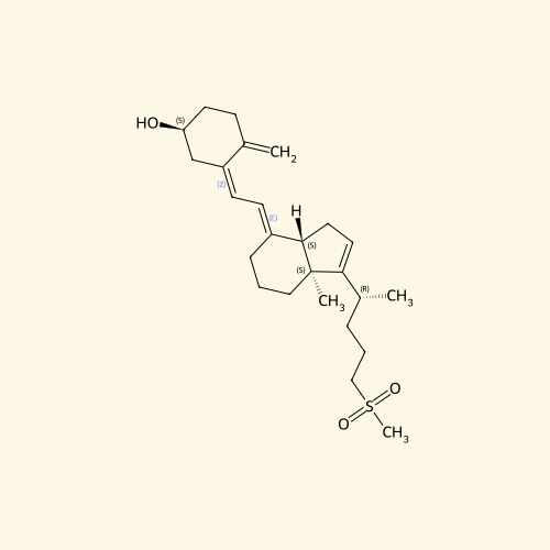 C=C1CC[C@H](O)C/C1=C/C=C1\CCC[C@]2(C)C([C@H](C)CCCS(C)(=O)=O)=CC[C@@H]12